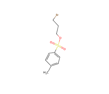 Cc1ccc(S(=O)(=O)OCCCBr)cc1